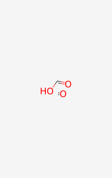 O=CO.[O]